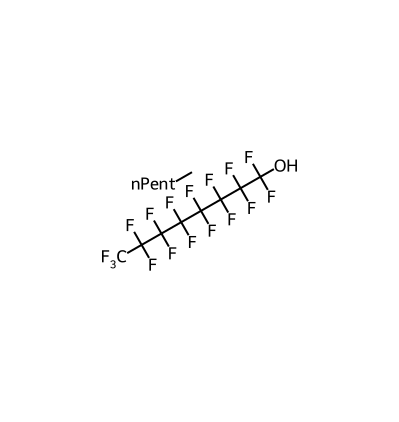 CCCCCC.OC(F)(F)C(F)(F)C(F)(F)C(F)(F)C(F)(F)C(F)(F)C(F)(F)C(F)(F)F